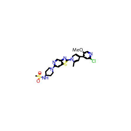 COc1cnc(Cl)cc1C1=CCN(c2nc3cnc(N4CCC(NS(C)(=O)=O)CC4)cc3s2)C(C)=C1